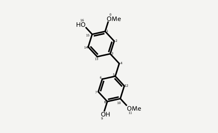 COc1cc(Cc2ccc(O)c(OC)c2)ccc1O